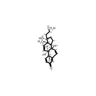 C[C@]12C=CC(=O)C=C1C=C[C@@H]1[C@@H]2C=C[C@@]2(C)[C@H]1CC[C@]2(O)CCC(=O)O